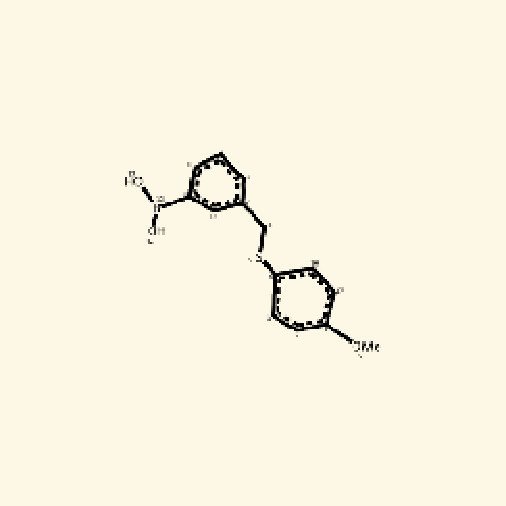 COc1ccc(SCc2cccc(B(O)O)c2)cc1